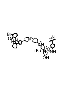 Cc1ncsc1-c1ccc([C@H](C)NC(=O)[C@@H]2C[C@@H](O)CN2C(=O)[C@@H](n2cc(C3CCC(CN4CCC(c5ccc6c(c5)-n5c(nc(=O)c7c(Br)cccc75)C65CCCCC5)CC4)CC3)nn2)C(C)(C)C)cc1